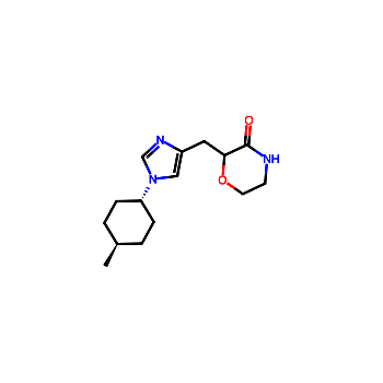 C[C@H]1CC[C@H](n2cnc(CC3OCCNC3=O)c2)CC1